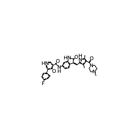 Cc1[nH]c(/C=C2\C(=O)Nc3cc(NC(=O)c4c[nH]cc(-c5ccc(F)cc5)c4=O)ccc32)c(C)c1C(=O)N1CCN(C)CC1